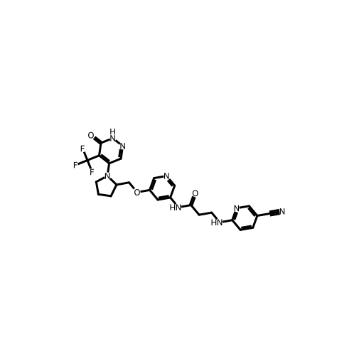 N#Cc1ccc(NCCC(=O)Nc2cncc(OCC3CCCN3c3cn[nH]c(=O)c3C(F)(F)F)c2)nc1